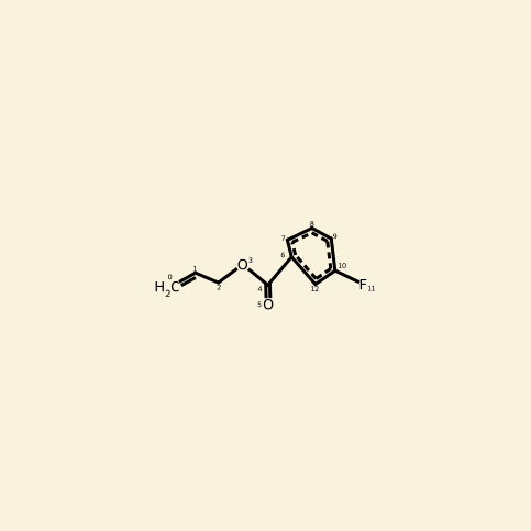 C=CCOC(=O)c1cccc(F)c1